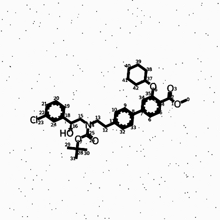 COC(=O)c1ccc(-c2ccc(CCN(C[C@@H](O)c3cccc(Cl)c3)C(=O)OC(C)(C)C)cc2)cc1OC1CCCCC1